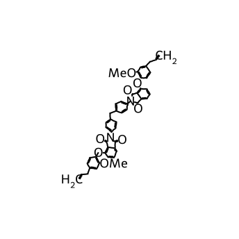 C=CCc1ccc(Oc2cccc3c2C(=O)N(c2ccc(Cc4ccc(N5C(=O)c6cccc(Oc7ccc(CC=C)cc7OC)c6C5=O)cc4)cc2)C3=O)c(OC)c1